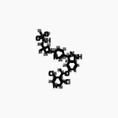 C[C@@H](Oc1ccc2[nH]nc(-c3ccc(N4CC(C)(CNS(C)(=O)=O)C4)nc3)c2c1)c1c(Cl)cncc1Cl